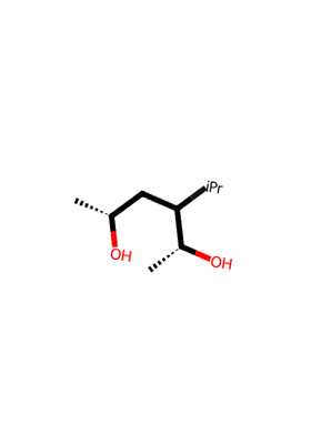 CC(C)C(C[C@@H](C)O)[C@@H](C)O